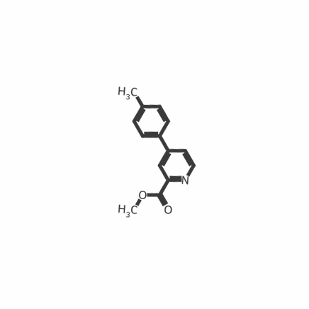 COC(=O)c1cc(-c2ccc(C)cc2)ccn1